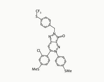 CSc1ccc(-n2nc3c(=O)n(Cc4ccc(SC(F)(F)F)cc4)nc-3cc2-c2ccc(SC)cc2Cl)cc1